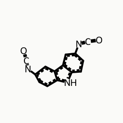 O=C=Nc1ccc2[nH]c3ccc(N=C=O)cc3c2c1